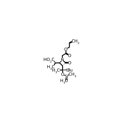 C=CCOC(=O)CN1C(=O)[C@H]([C@@](C)(O[SiH](C)C)C(C)(C)C)[C@H]1[C@@H](C)C(=O)O